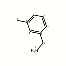 Cc1cc[c]c(CN)c1